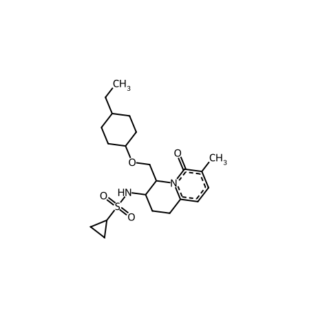 CCC1CCC(OCC2C(NS(=O)(=O)C3CC3)CCc3ccc(C)c(=O)n32)CC1